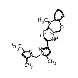 Cc1cc(C)n(Cn2nc(C(=O)N[C@H]3COc4ccccc4N(C)C3=O)cc2C)n1